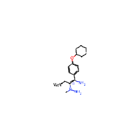 CNC/C(=C(/N)c1ccc(OC2CCCCC2)cc1)N(C)N